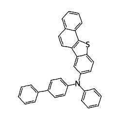 c1ccc(-c2ccc(N(c3ccccc3)c3ccc4sc5c6ccccc6ccc5c4c3)cc2)cc1